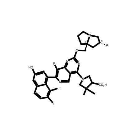 CCc1c(F)ccc2cc(O)cc(-c3ncc4c(N5CC(C(=O)O)C(C)(C)C5)nc(OC[C@@]56CCCN5C[C@H](F)C6)nc4c3F)c12